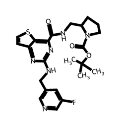 CC(C)(C)OC(=O)N1CCCC1CNC(=O)c1nc(NCc2cncc(F)c2)nc2ccsc12